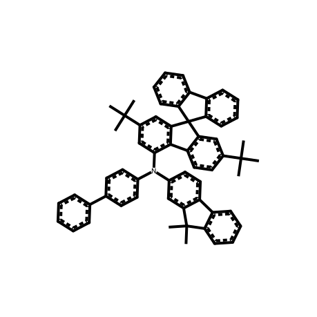 CC(C)(C)c1ccc2c(c1)C1(c3ccccc3-c3ccccc31)c1cc(C(C)(C)C)cc(N(c3ccc(-c4ccccc4)cc3)c3ccc4c(c3)C(C)(C)c3ccccc3-4)c1-2